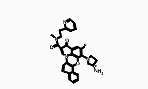 CN(CCc1ccccn1)C(=O)c1cn2c3c(c(N4CC[C@@H](N)C4)c(F)cc3c1=O)Oc1c-2ccc2ccccc12